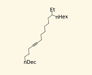 [CH2]CCCCCCCCCCCCC#CCCCCCCC(CC)CCCCC[CH2]